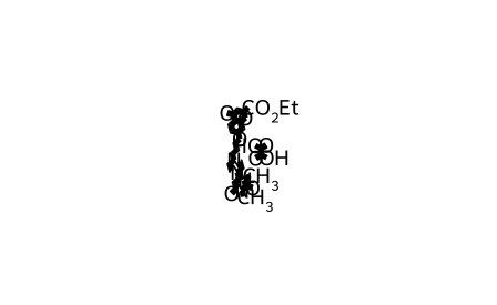 CCOC(=O)c1cc(=O)c2ccc(OCCCN3CCN(c4cc(=O)n(C)c(=O)n4C)CC3)cc2o1.O=C(O)C(=O)O